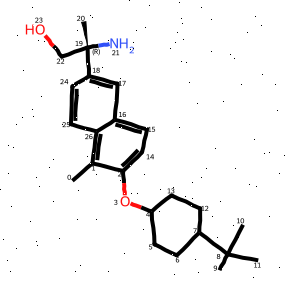 Cc1c(OC2CCC(C(C)(C)C)CC2)ccc2cc([C@@](C)(N)CO)ccc12